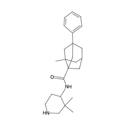 CC1(C)CNCCC1NC(=O)C12CC3CC(c4ccccc4)(CC1(C)C3)C2